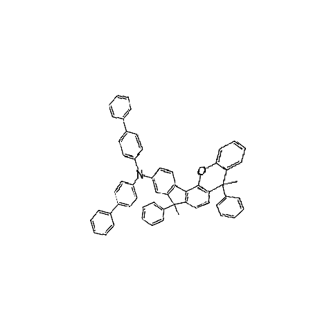 CC1(c2ccccc2)c2ccccc2Oc2c1ccc1c2-c2ccc(N(c3ccc(-c4ccccc4)cc3)c3ccc(-c4ccccc4)cc3)cc2C1(C)c1ccccc1